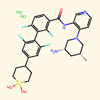 C[C@@H]1C[C@H](N)CN(c2ccncc2NC(=O)c2ccc(F)c(-c3c(F)cc(C4CCS(O)(O)CC4)cc3F)c2F)C1.Cl.Cl